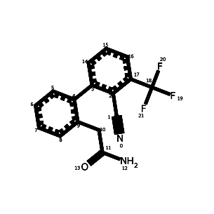 N#Cc1c(-c2ccccc2CC(N)=O)cccc1C(F)(F)F